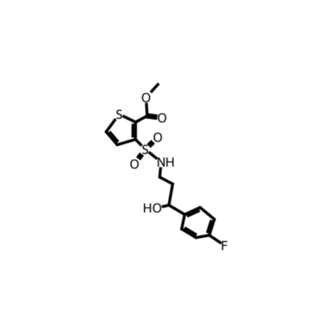 COC(=O)c1sccc1S(=O)(=O)NCCC(O)c1ccc(F)cc1